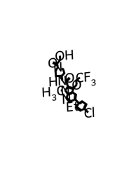 CCc1nc2c(cc1-c1ccc(Cl)cc1)c(OCC(F)(F)F)c(C(=O)NC1CCN(C(=O)CO)CC1)n2C